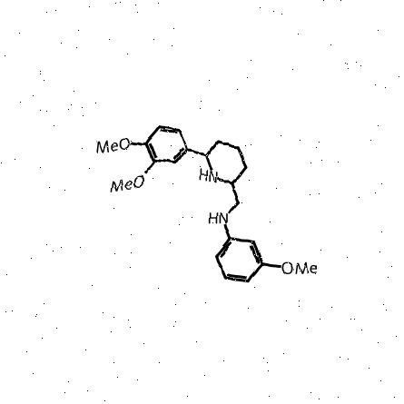 COc1cccc(NCC2CCCC(c3ccc(OC)c(OC)c3)N2)c1